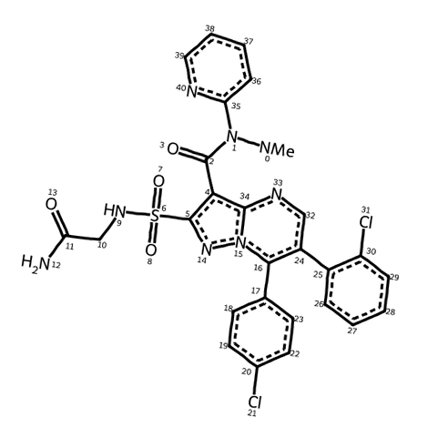 CNN(C(=O)c1c(S(=O)(=O)NCC(N)=O)nn2c(-c3ccc(Cl)cc3)c(-c3ccccc3Cl)cnc12)c1ccccn1